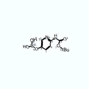 CC(C)(C)OC(=O)Nc1ccc(OB(O)O)cn1